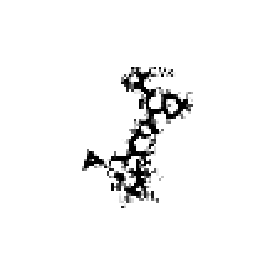 BC1(B)NC(=O)N(C(COC2CC2)c2cnn3cc(C(NC(=O)c4nonc4OC)C4CCC(F)(F)CC4)nc3c2)C(B)(B)C1(F)F